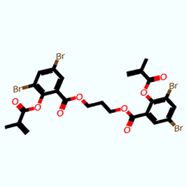 C=C(C)C(=O)Oc1c(Br)cc(Br)cc1C(=O)OCCCOC(=O)c1cc(Br)cc(Br)c1OC(=O)C(=C)C